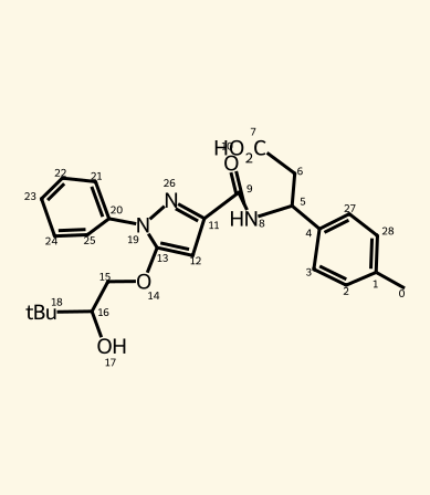 Cc1ccc(C(CC(=O)O)NC(=O)c2cc(OCC(O)C(C)(C)C)n(-c3ccccc3)n2)cc1